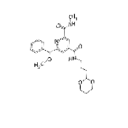 CNC(=O)c1cc(C(=O)NCCCC2OCCCO2)cc(C(OC)c2ccccc2)n1